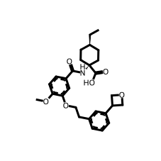 CC[C@H]1CC[C@@](NC(=O)c2ccc(OC)c(OCCc3cccc(C4COC4)c3)c2)(C(=O)O)CC1